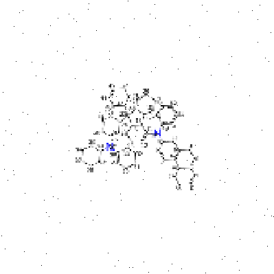 C1=CC2CCC3=C(C=CC(N(C4=CCCC5C4C4CCC=CC4C54C5C=C(N(C6=CCCCC6)C6CC=CCC6)C=CC5C5C=CCCC54)c4ccccc4)C3)C2CC1